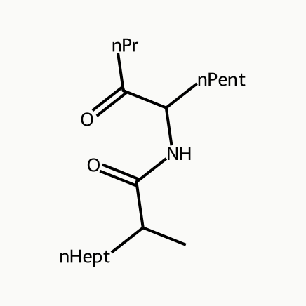 CCCCCCCC(C)C(=O)NC(CCCCC)C(=O)CCC